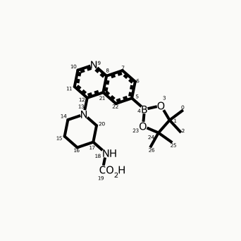 CC1(C)OB(c2ccc3nccc(N4CCCC(NC(=O)O)C4)c3c2)OC1(C)C